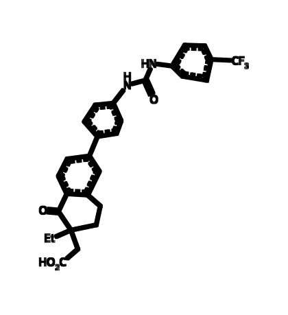 CCC1(CC(=O)O)CCc2cc(-c3ccc(NC(=O)Nc4ccc(C(F)(F)F)cc4)cc3)ccc2C1=O